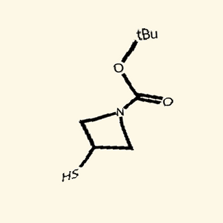 CC(C)(C)OC(=O)N1CC(S)C1